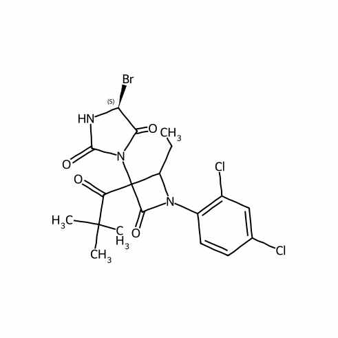 CCC1N(c2ccc(Cl)cc2Cl)C(=O)C1(C(=O)C(C)(C)C)N1C(=O)N[C@@H](Br)C1=O